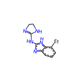 CCc1cccc2nc(NC3=NCCN3)[nH]c12